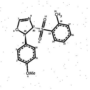 COc1ccc([C@H]2OC=N[C@@H]2S(=O)(=O)c2ccccc2C)cc1